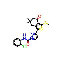 CSc1sc(-c2ccn(C(=O)Nc3ccccc3Cl)n2)c2c1C(=O)CC(C)(C)C2